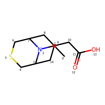 CCN1C2CSCC1CC(CC(=O)O)C2